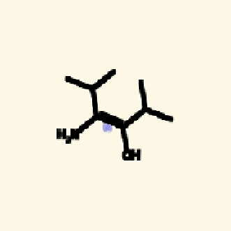 CC(C)/C(N)=C(/O)C(C)C